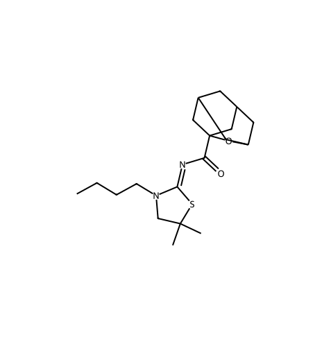 CCCCN1CC(C)(C)SC1=NC(=O)C12CC3CC(CC(C3)O1)C2